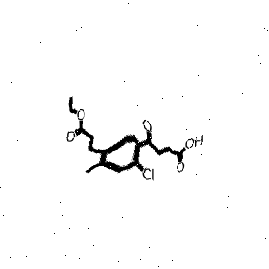 CCOC(=O)CCc1cc(C(=O)CCC(=O)O)c(Cl)cc1C